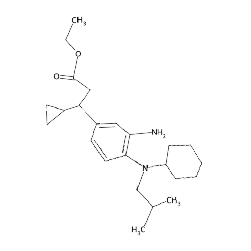 CCOC(=O)CC(c1ccc(N(CC(C)C)C2CCCCC2)c(N)c1)C1CC1